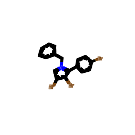 Brc1ccc(-c2c(Br)c(Br)cn2Cc2ccccc2)cc1